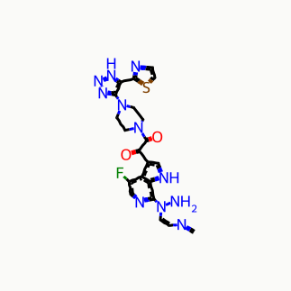 C=N/C=C\N(N)c1ncc(F)c2c(C(=O)C(=O)N3CCN(c4nn[nH]c4-c4nccs4)CC3)c[nH]c12